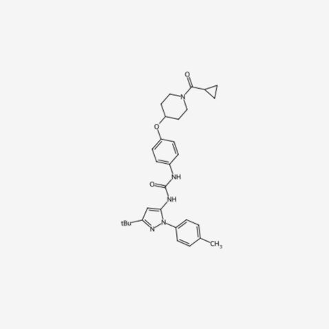 Cc1ccc(-n2nc(C(C)(C)C)cc2NC(=O)Nc2ccc(OC3CCN(C(=O)C4CC4)CC3)cc2)cc1